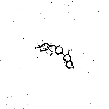 CO[C@@H]1/C(=C\c2ccc(-c3cc4ccncc4cc3O)nn2)C[C@@]2(C)N[C@@H]1CC2(F)F